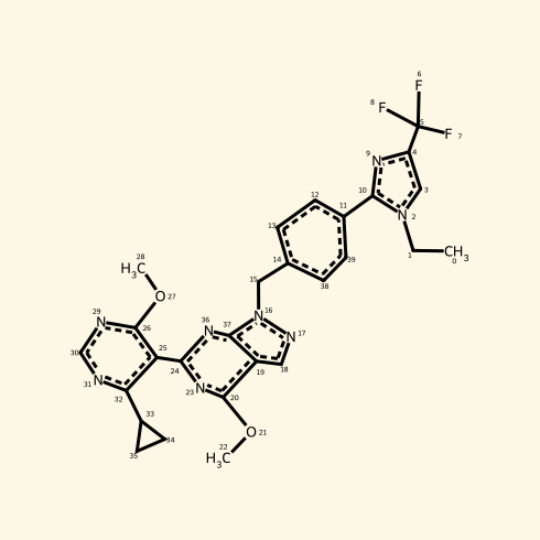 CCn1cc(C(F)(F)F)nc1-c1ccc(Cn2ncc3c(OC)nc(-c4c(OC)ncnc4C4CC4)nc32)cc1